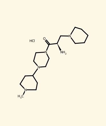 CN1CCC(N2CCN(C(=O)[C@H](N)CN3CCCCC3)CC2)CC1.Cl